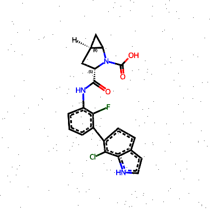 O=C(Nc1cccc(-c2ccc3cc[nH]c3c2Cl)c1F)[C@@H]1C[C@H]2CC2N1C(=O)O